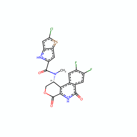 CN(C(=O)c1cc2sc(Cl)cc2[nH]1)[C@H]1COC(=O)c2[nH]c(=O)c3cc(F)c(F)cc3c21